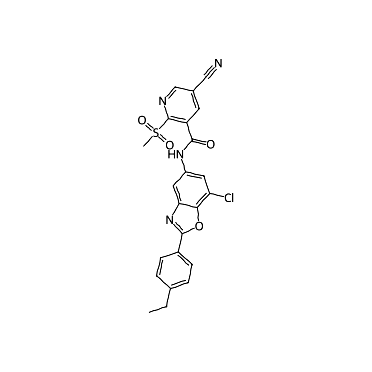 CCc1ccc(-c2nc3cc(NC(=O)c4cc(C#N)cnc4S(C)(=O)=O)cc(Cl)c3o2)cc1